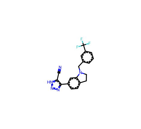 N#Cc1[nH]nnc1-c1ccc2c(c1)N(Cc1cccc(C(F)(F)F)c1)CC2